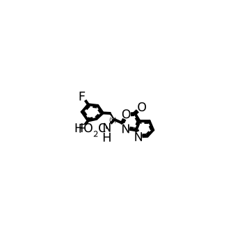 O=C(O)N[C@@H](Cc1cc(F)cc(F)c1)c1nc2ncccc2c(=O)o1